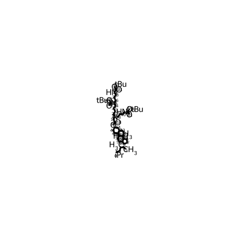 CC(C)CCCC(C)[C@H]1CC[C@H]2[C@@H]3CC=C4C[C@@H](OC(=O)CN(CCCCN(CCCNC(=O)OC(C)(C)C)C(=O)OC(C)(C)C)CCCNC(=O)OC(C)(C)C)CC[C@]4(C)[C@H]3CC[C@]12C